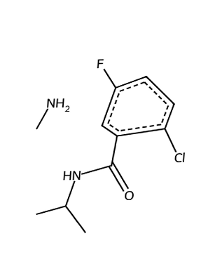 CC(C)NC(=O)c1cc(F)ccc1Cl.CN